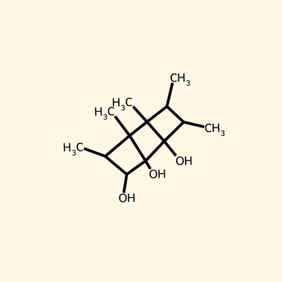 CC1C(C)C2(O)C1(C)C1(C)C(C)C(O)C12O